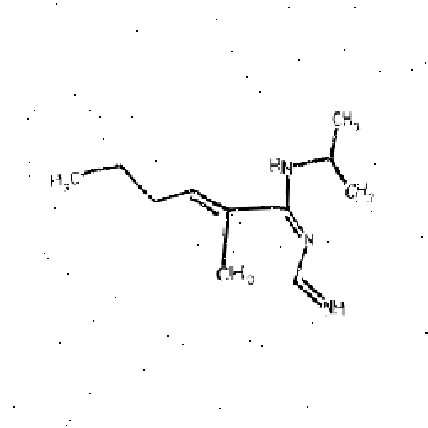 CCC/C=C(C)/C(=N\C=N)NC(C)C